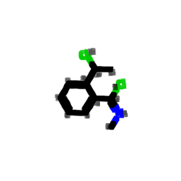 C/N=C(/Cl)c1ccccc1C(C)Cl